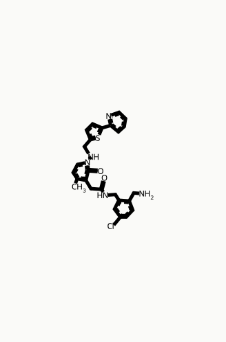 Cc1ccn(NCc2ccc(-c3ccccn3)s2)c(=O)c1CC(=O)NCc1cc(Cl)ccc1CN